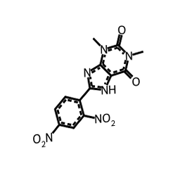 Cn1c(=O)c2[nH]c(-c3ccc([N+](=O)[O-])cc3[N+](=O)[O-])nc2n(C)c1=O